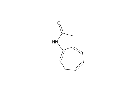 O=C1CC2=CC=CCC=C2N1